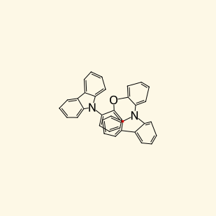 c1ccc(-n2c3ccccc3c3ccccc32)c(Oc2ccccc2-n2c3ccccc3c3ccccc32)c1